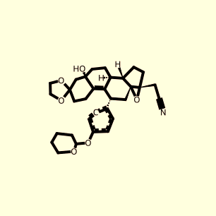 N#CC[C@]12CC[C@H]3[C@@H]4CC[C@@]5(O)CC6(CCC5=C4[C@@H](c4ccc(OC5CCCCO5)cc4)C[C@@]31O2)OCCO6